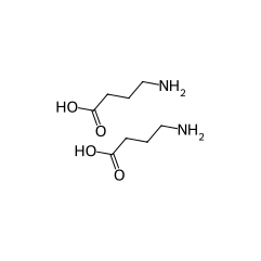 NCCCC(=O)O.NCCCC(=O)O